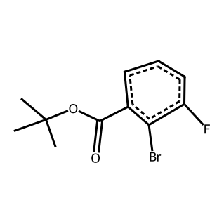 CC(C)(C)OC(=O)c1cccc(F)c1Br